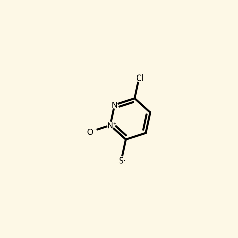 [O-][n+]1nc(Cl)ccc1[S]